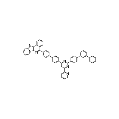 c1ccc(-c2cccc(-c3ccc(-c4nc(-c5ccc(-c6ccc(-c7nc8c(nc9ccccn98)c8ccccc78)cc6)cc5)cc(-c5ccccn5)n4)cc3)c2)cc1